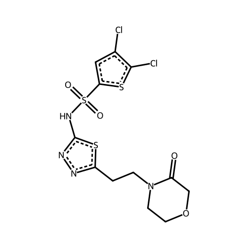 O=C1COCCN1CCc1nnc(NS(=O)(=O)c2cc(Cl)c(Cl)s2)s1